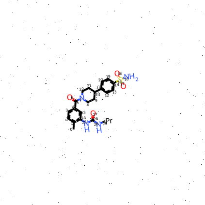 Cc1ccc(C(=O)N2CCC(c3ccc(S(N)(=O)=O)cc3)CC2)cc1NC(=O)NC(C)C